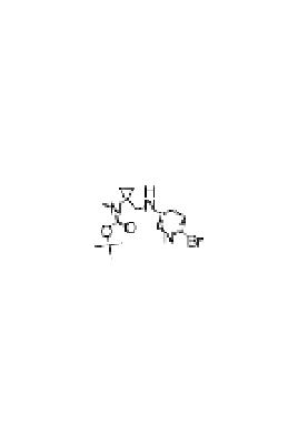 CN(C(=O)OC(C)(C)C)C1(CNc2ccc(Br)nc2)CC1